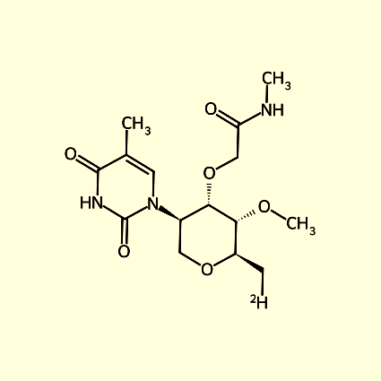 [2H]C[C@H]1OC[C@@H](n2cc(C)c(=O)[nH]c2=O)[C@H](OCC(=O)NC)[C@@H]1OC